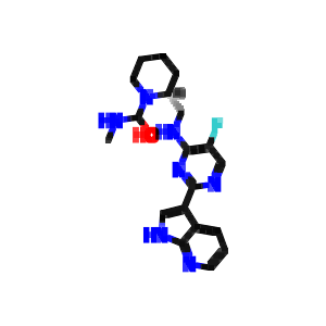 CNC(O)N1CCCC[C@@H]1CNc1nc(-c2c[nH]c3ncccc23)ncc1F